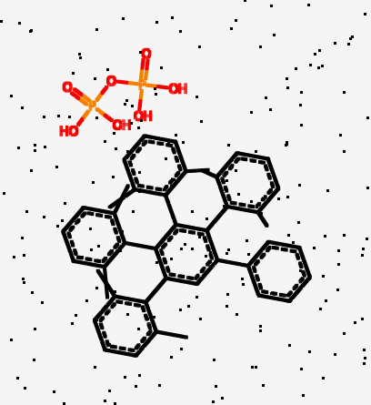 Cc1cccc(C)c1-c1cc(-c2ccccc2)c(-c2c(C)cccc2C)c(-c2c(C)cccc2C)c1-c1c(C)cccc1C.O=P(O)(O)OP(=O)(O)O